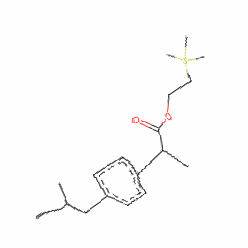 CC(C)Cc1ccc(C(C)C(=O)OCCS(C)(C)C)cc1